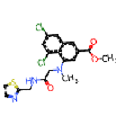 COC(=O)c1cc(N(C)CC(=O)NCc2nccs2)c2c(Cl)cc(Cl)cc2c1